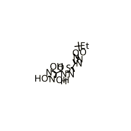 CCC(C)(C)C(=O)On1cc(-c2cnc(NC(=O)c3c(O)nc(O)nc3O)s2)nn1